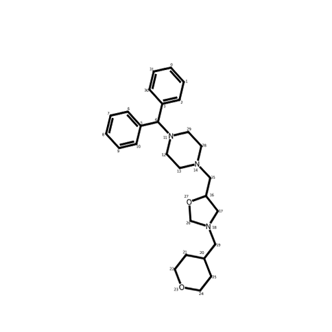 c1ccc(C(c2ccccc2)N2CCN(CC3CN(CC4CCOCC4)CO3)CC2)cc1